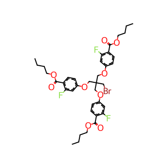 CCCCOC(=O)c1ccc(OCC(CBr)(COc2ccc(C(=O)OCCCC)c(F)c2)COc2ccc(C(=O)OCCCC)c(F)c2)cc1F